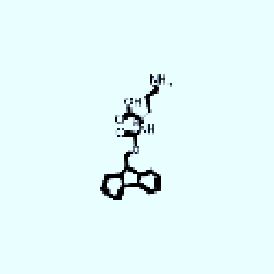 NCCC[C@H](NC(=O)OCC1c2ccccc2-c2ccccc21)C(=O)O